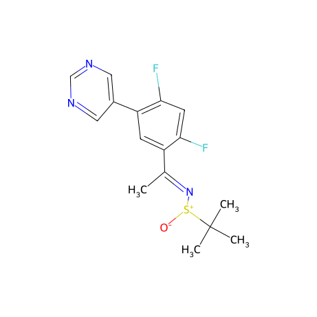 CC(=N[S+]([O-])C(C)(C)C)c1cc(-c2cncnc2)c(F)cc1F